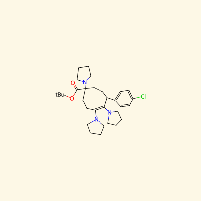 CC(C)(C)OC(=O)C1(N2CCCC2)CCC(N2CCCC2)=C(N2CCCC2)C(c2ccc(Cl)cc2)CC1